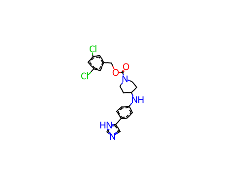 O=C(OCc1cc(Cl)cc(Cl)c1)N1CCC(Nc2ccc(-c3cnc[nH]3)cc2)CC1